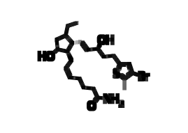 CCC1CC(O)[C@H](C/C=C\CCCC(N)=O)[C@H]1/C=C/[C@@H](O)CCc1cc(Br)c(C)s1